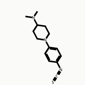 CN(C)C1CCN(c2ccc(N=C=S)cc2)CC1